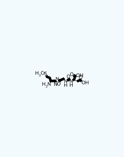 CSCC[C@H](N)c1noc(CNC(=O)N[C@@H](CC(=O)O)C(=O)O)n1